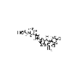 C[C@@H](Nc1nc(N2CC(C3CCCN(CCO)C3)C2)ncc1F)c1ccc(Cl)cc1Cl